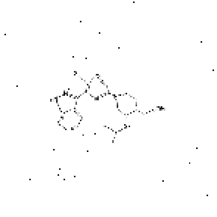 CC(C)CC1CN(c2ccc(F)c(-c3n[nH]c4ncccc34)n2)CCC1CC#N